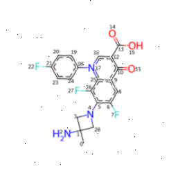 CC1(N)CN(c2c(F)cc3c(=O)c(C(=O)O)cn(-c4ccc(F)cc4)c3c2F)C1